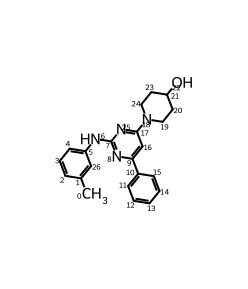 Cc1cccc(Nc2nc(-c3ccccc3)cc(N3CCC(O)CC3)n2)c1